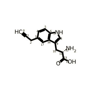 C#CCc1ccc2[nH]cc(C[C@H](N)C(=O)O)c2c1